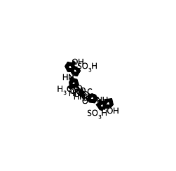 Cc1cc(Nc2ccc(S(=O)(=O)O)c3c(O)cccc23)ccc1S(=O)(=O)NC(=O)NS(=O)(=O)c1ccc(Nc2ccc(S(=O)(=O)O)c3c(O)cccc23)cc1C